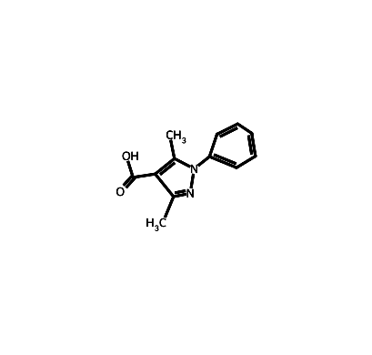 Cc1nn(-c2ccccc2)c(C)c1C(=O)O